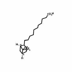 CC1(C)[C@H]2CCC(CCCCCCCCCCC(=O)O)[C@@H]1C2